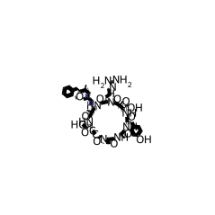 C=C1C(=O)N[C@H](C)C(=O)N[C@@H](Cc2ccc(O)cc2)C(=O)N[C@@H](C(=O)O)[C@H](C)C(=O)N[C@@H](CCCN=C(N)N)C(=O)N[C@@H](/C=C/C(C)=C/[C@H](C)[C@H](Cc2ccccc2)OC)[C@H](C)C(=O)N[C@@H](C(=O)O)CCC(=O)N1C